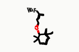 CC(=CCOC1C(C)(C)CCCC1(C)C)C(=O)O